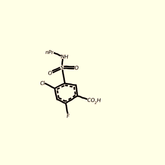 CCCNS(=O)(=O)c1cc(C(=O)O)c(F)cc1Cl